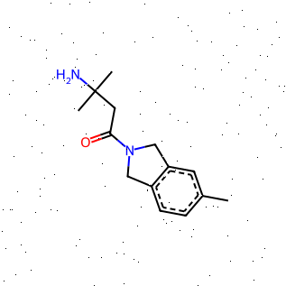 Cc1ccc2c(c1)CN(C(=O)CC(C)(C)N)C2